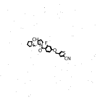 C[C@@H]1CCCN1C[C@@H]1CCCN1C(=O)c1ccc(OCc2csc(C#N)c2)cc1F